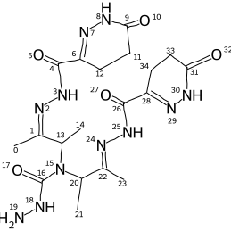 CC(=NNC(=O)C1=NNC(=O)CC1)C(C)N(C(=O)NN)C(C)C(C)=NNC(=O)C1=NNC(=O)CC1